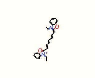 CCN1C(=CC=CC=CC=Cc2oc3ccccc3[n+]2CC)Oc2ccccc21